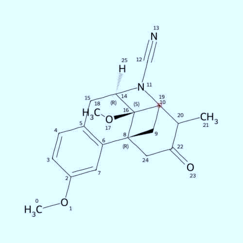 COc1ccc2c(c1)[C@]13CCN(C#N)[C@H](C2)[C@]1(OC)CC(C)C(=O)C3